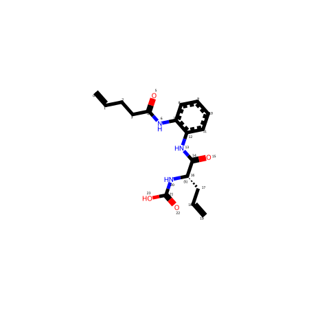 C=CCCC(=O)Nc1ccccc1NC(=O)[C@H](CC=C)NC(=O)O